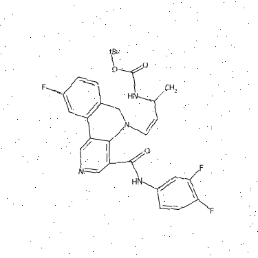 CC(/C=C\N1Cc2ccc(F)cc2-c2cncc(C(=O)Nc3ccc(F)c(F)c3)c21)NC(=O)OC(C)(C)C